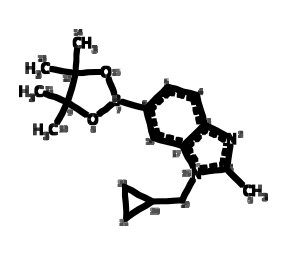 Cc1nc2ccc(B3OC(C)(C)C(C)(C)O3)cc2n1CC1CC1